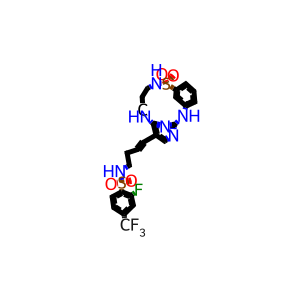 O=S1(=O)NCCCNc2nc(ncc2C#CCCNS(=O)(=O)c2ccc(C(F)(F)F)cc2F)Nc2cccc1c2